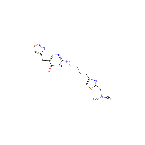 CN(C)Cc1nc(CSCCNc2ncc(Cc3cscn3)c(=O)[nH]2)cs1